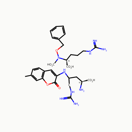 Cc1ccc2cc(NC(CNC(=N)N)C[C@H](N)C(=O)O)c(=O)oc2c1.N=C(N)NCCC[C@@H](C(=O)O)N(OCc1ccccc1)C(=O)O